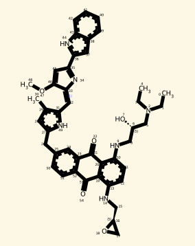 CCN(CC)C[C@@H](O)CNc1ccc(NC[C@H]2CO2)c2c1C(=O)c1cc(Cc3cc(C)c(/C=C4/N=C(c5cc6ccccc6[nH]5)C=C4OC)[nH]3)ccc1C2=O